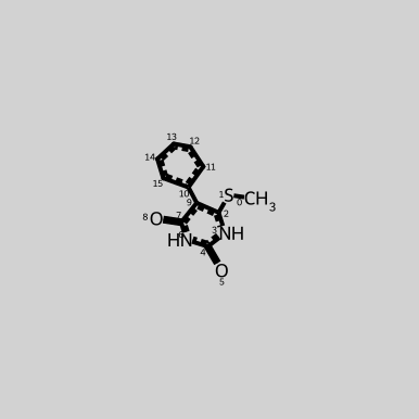 CSc1[nH]c(=O)[nH]c(=O)c1-c1ccccc1